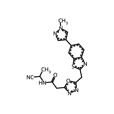 CC(C#N)NC(=O)Cc1nnc(Cc2nc3ccc(-c4cnn(C)c4)cc3s2)o1